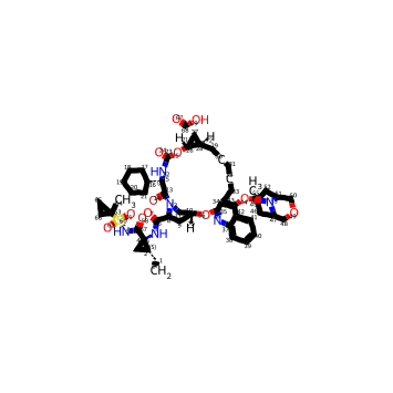 C=C[C@@H]1C[C@]1(NC(=O)C1C[C@@H]2CN1C(=O)[C@H](C1CCCCC1)NC(=O)O[C@@H]1C[C@H]1CCCCCc1c(nc3ccccc3c1OC1CC3COCC(C1)N3CC)O2)C(=O)NS(=O)(=O)C1(C)CC1.O=CO